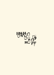 O=c1nc(CN2CCCC(O[C@H](CO)c3cc(C(F)(F)F)cc(C(F)(F)F)c3)C2c2ccccc2)[nH][nH]1